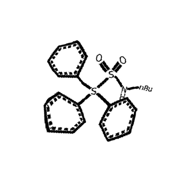 CCCCNS(=O)(=O)S(c1ccccc1)(c1ccccc1)c1ccccc1